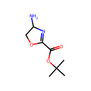 CC(C)(C)OC(=O)C1=NC(N)CO1